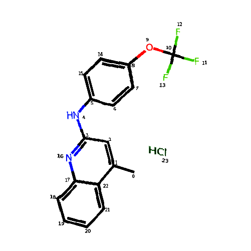 Cc1cc(Nc2ccc(OC(F)(F)F)cc2)nc2ccccc12.Cl